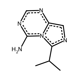 CC(C)c1ncc2ncnc(N)n12